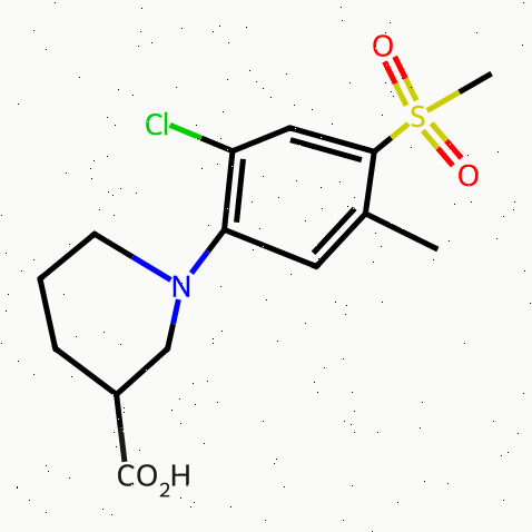 Cc1cc(N2CCCC(C(=O)O)C2)c(Cl)cc1S(C)(=O)=O